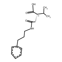 CC(C)[C@H](CC(=O)NCCCc1ccccc1)C(=O)O